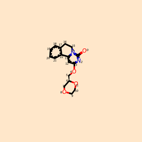 O=c1nc(OC[C@@H]2COCCO2)cc2n1CCc1ccccc1-2